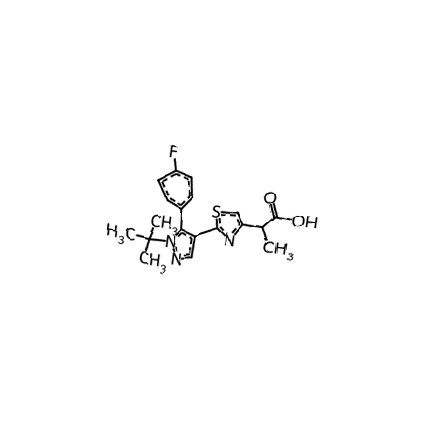 CC(C(=O)O)c1csc(-c2cnn(C(C)(C)C)c2-c2ccc(F)cc2)n1